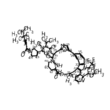 CO[C@@H](C)c1ncccc1-c1c2c3cc(ccc3n1CC(F)(F)F)-c1cnc(o1)C[C@H](NC(=O)C(C(C)C)N(C)C(=O)[C@H]1CCN(C(=O)C#CC(C)(C)N(C)C)C1)C(=O)N1CCC[C@@](S)(N1)C(=O)OCC(C)(C)C2